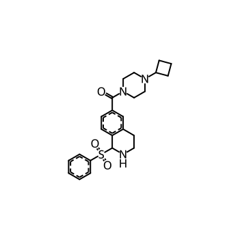 O=C(c1ccc2c(c1)CCNC2S(=O)(=O)c1ccccc1)N1CCN(C2CCC2)CC1